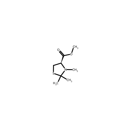 COC(=O)[C@@H]1CSC(C)(C)N1C